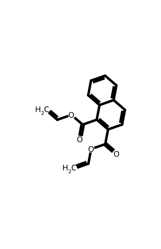 C=COC(=O)c1ccc2ccccc2c1C(=O)OC=C